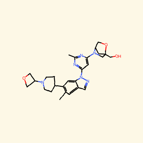 Cc1nc(N2CC3(CO)CC2CO3)cc(-n2ncc3cc(C)c(C4CCN(C5COC5)CC4)cc32)n1